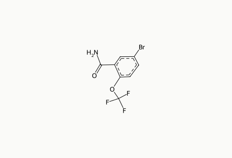 NC(=O)c1cc(Br)ccc1OC(F)(F)F